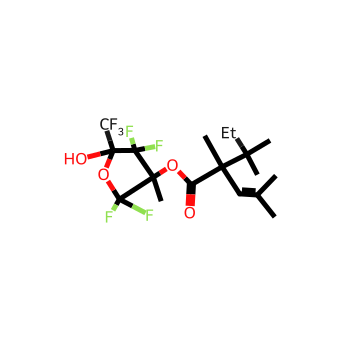 CCC(C)(C)C(C)(C=C(C)C)C(=O)OC1(C)C(F)(F)OC(O)(C(F)(F)F)C1(F)F